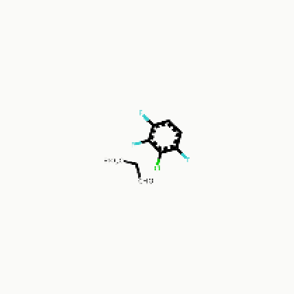 CCOC(=O)CC=O.Fc1ccc(F)c(Cl)c1F